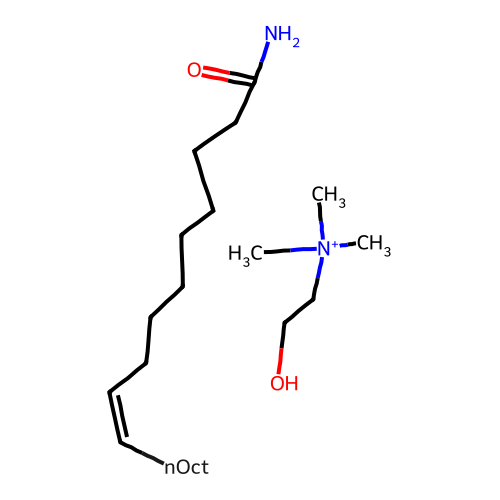 CCCCCCCC/C=C\CCCCCCCC(N)=O.C[N+](C)(C)CCO